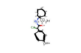 COc1ccc(C(Cl)C(=O)NC2(C(=O)O)CCCCCC2)cc1